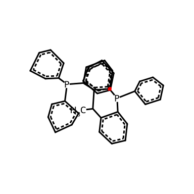 CC(c1ccccc1P(c1ccccc1)c1ccccc1)c1ccccc1P(c1ccccc1)c1ccccc1